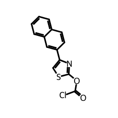 O=C(Cl)Oc1nc(-c2ccc3ccccc3c2)cs1